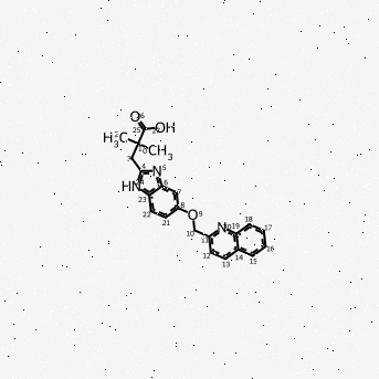 CC(C)(Cc1nc2cc(OCc3ccc4ccccc4n3)ccc2[nH]1)C(=O)O